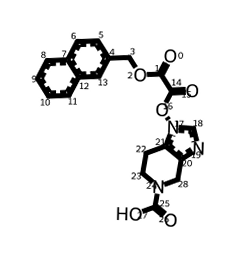 O=C(OCc1ccc2ccccc2c1)C(=O)On1cnc2c1CCN(C(=O)O)C2